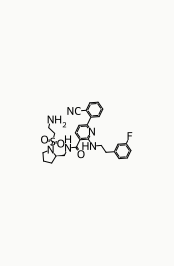 N#Cc1ccccc1-c1ccc(C(=O)NC[C@H]2CCCN2S(=O)(=O)CCN)c(NCCc2cccc(F)c2)n1